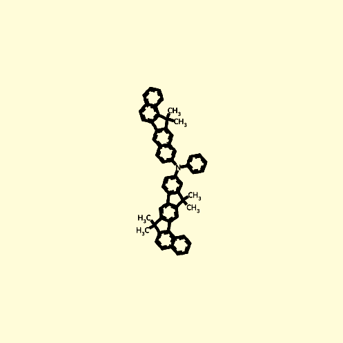 CC1(C)c2cc(N(c3ccccc3)c3ccc4cc5c(cc4c3)C(C)(C)c3c-5ccc4ccccc34)ccc2-c2cc3c(cc21)-c1c(ccc2ccccc12)C3(C)C